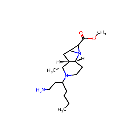 CCCCC(CCN)N1CC[C@@H]2[C@@H](CC3C(C(=O)OC)N32)[C@H]1C